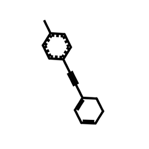 Cc1ccc(C#CC2=CC=CCC2)cc1